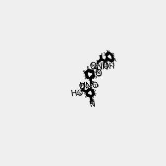 CC(CNS(=O)(=O)c1cccc(C(=O)Nc2ccc(C#N)cc2C(=O)O)c1)C(O)c1ccccc1